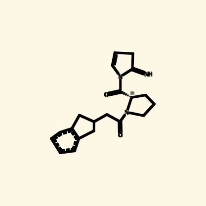 N=C1CC=CN1C(=O)[C@@H]1CCCN1C(=O)CC1Cc2ccccc2C1